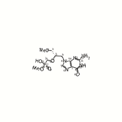 COC[C@H](Cn1cnc2c(=O)[nH]c(N)nc21)OCP(=O)(O)OC